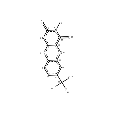 Cn1c(=O)nc2sc3ccc(C(F)(F)F)cc3nc-2c1=O